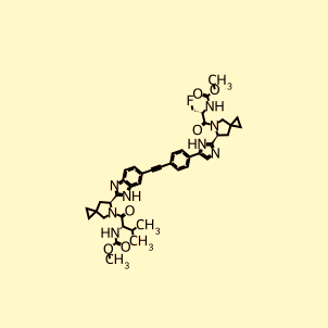 COC(=O)N[C@@H](CF)C(=O)N1CC2(CC2)C[C@H]1c1ncc(-c2ccc(C#Cc3ccc4nc([C@@H]5CC6(CC6)CN5C(=O)[C@@H](NC(=O)OC)C(C)C)[nH]c4c3)cc2)[nH]1